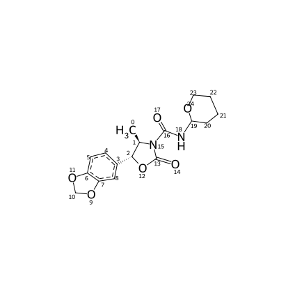 C[C@@H]1[C@@H](c2ccc3c(c2)OCO3)OC(=O)N1C(=O)NC1CCCCO1